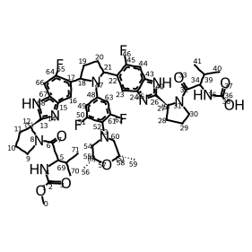 COC(=O)NC(C(=O)N1CCC[C@H]1c1nc2cc(C3CCC(c4cc5nc([C@@H]6CCCN6C(=O)C(NC(=O)O)C(C)C)[nH]c5cc4F)N3c3cc(F)c(N4C[C@@H](C)O[C@@H](C)C4)c(F)c3)c(F)cc2[nH]1)C(C)C